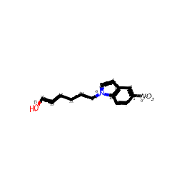 O=[N+]([O-])c1ccc2c(ccn2CCCCCCO)c1